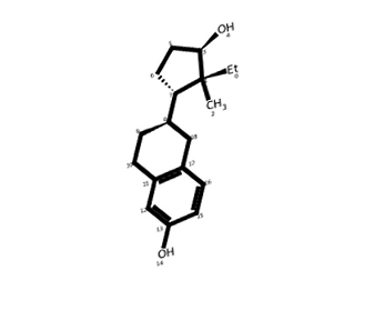 CC[C@]1(C)[C@H](O)CC[C@H]1[C@@H]1CCc2cc(O)ccc2C1